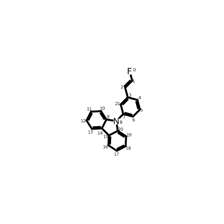 FC=Cc1cccc(-n2c3ccccc3c3ccccc32)c1